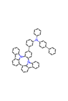 c1ccc(-c2ccc(N(c3ccccc3)c3cccc(-c4ccc5c(c4)n4c6ccccc6c6cccc(c7cccc8c9ccccc9n5c87)c64)c3)cc2)cc1